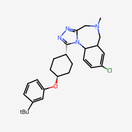 CN1Cc2nnc([C@H]3CC[C@H](Oc4cccc(C(C)(C)C)c4)CC3)n2C2C=CC(Cl)=CC2C1